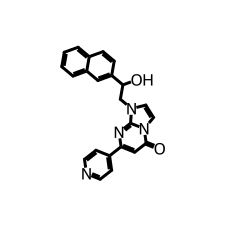 O=c1cc(-c2ccncc2)nc2n(CC(O)c3ccc4ccccc4c3)ccn12